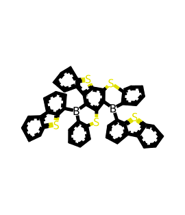 c1ccc2c(c1)Sc1c(c3c(c4c1sc1ccccc14)B(c1cccc4c1sc1ccccc14)c1ccccc1S3)B2c1cccc2c1sc1ccccc12